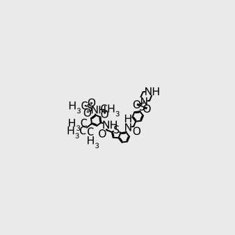 COc1c(NC(=O)c2cc3cccc(NC(=O)c4ccc(S(=O)(=O)N5CCNCC5)cc4)c3s2)cc(C(C)(C)C)cc1NS(C)(=O)=O